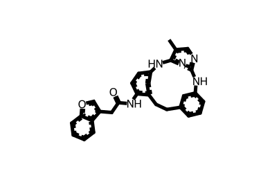 Cc1cnc2nc1Nc1ccc(NC(=O)Cc3coc4ccccc34)c(c1)CCc1cccc(c1)N2